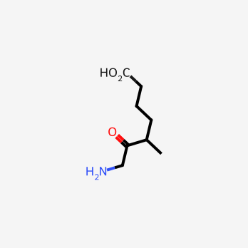 CC(CCCC(=O)O)C(=O)CN